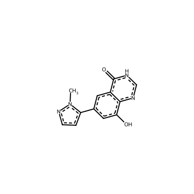 Cn1nccc1-c1cc(O)c2nc[nH]c(=O)c2c1